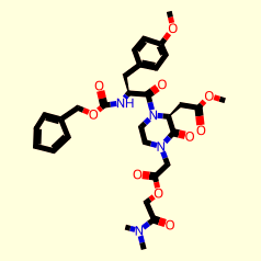 COC(=O)C[C@H]1C(=O)N(CC(=O)OCC(=O)N(C)C)CCN1C(=O)[C@H](Cc1ccc(OC)cc1)NC(=O)OCc1ccccc1